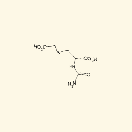 NC(=O)NC(CSCC(=O)O)C(=O)O